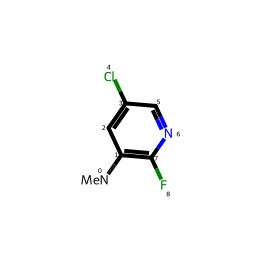 CNc1cc(Cl)cnc1F